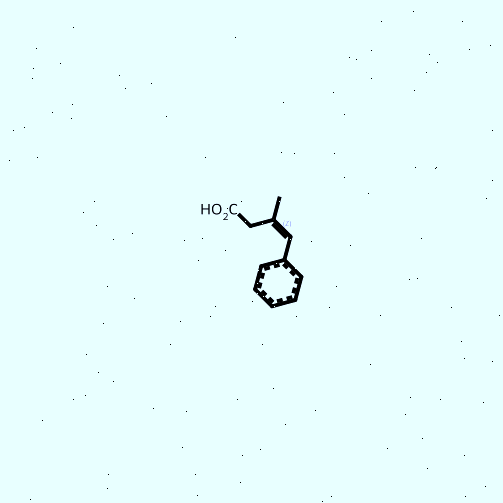 C/C(=C/c1ccccc1)CC(=O)O